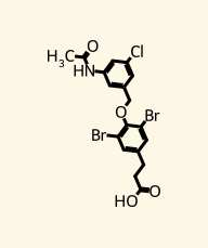 CC(=O)Nc1cc(Cl)cc(COc2c(Br)cc(CCC(=O)O)cc2Br)c1